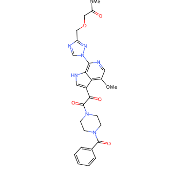 CNC(=O)COCc1ncn(-c2ncc(OC)c3c(C(=O)C(=O)N4CCN(C(=O)c5ccccc5)CC4)c[nH]c23)n1